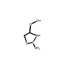 NP1NC(OO)CO1